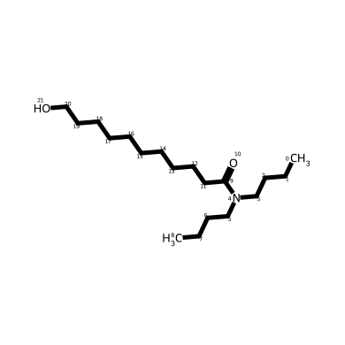 CCCCN(CCCC)C(=O)CCCCCCCCCCO